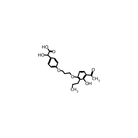 CCCc1c(OCCCOc2ccc(C(O)C(=O)O)cc2)ccc(C(C)=O)c1O